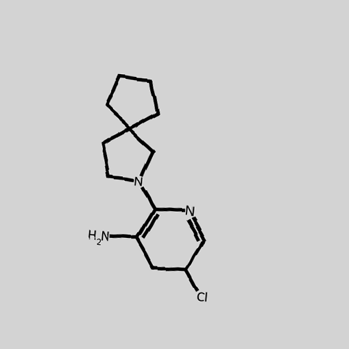 NC1=C(N2CCC3(CCCC3)C2)N=CC(Cl)C1